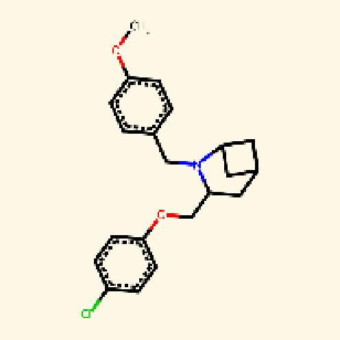 COc1ccc(CN2C(COc3ccc(Cl)cc3)CC3CC2C3)cc1